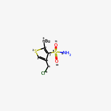 CCCCc1scc(CCl)c1S(N)(=O)=O